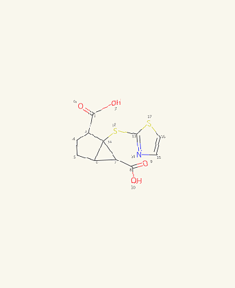 O=C(O)C1CCC2C(C(=O)O)C12Sc1nccs1